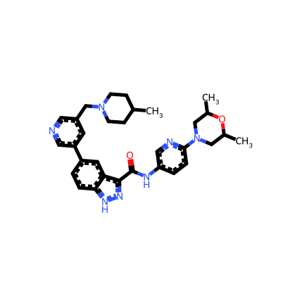 CC1CCN(Cc2cncc(-c3ccc4[nH]nc(C(=O)Nc5ccc(N6CC(C)OC(C)C6)nc5)c4c3)c2)CC1